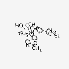 CCOc1ccc(-c2ccc(Cn3c(CC(C)(C)C(=O)O)c(SC(C)(C)C)c4cc(O[C@H](C)c5ccccn5)ccc43)cc2)cn1